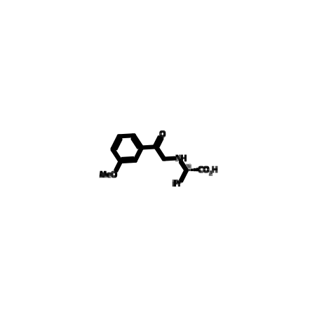 COc1cccc(C(=O)CN[C@H](C(=O)O)C(C)C)c1